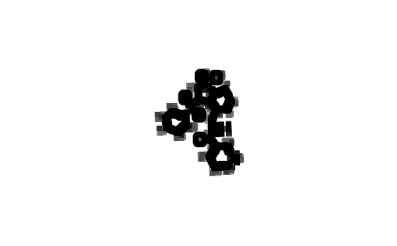 O=C(NCc1cccc2c1C(S(=O)(=O)c1ccccc1)CS2(=O)=O)c1cccnc1